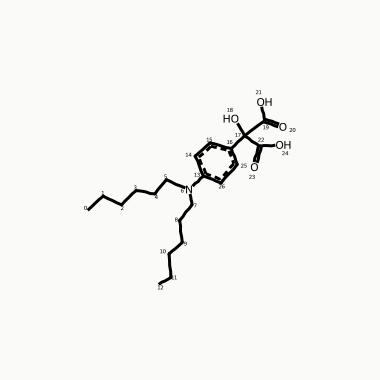 CCCCCCN(CCCCCC)c1ccc(C(O)(C(=O)O)C(=O)O)cc1